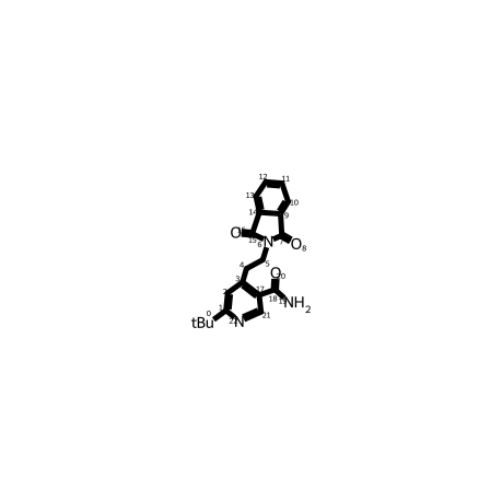 CC(C)(C)c1cc(CCN2C(=O)c3ccccc3C2=O)c(C(N)=O)cn1